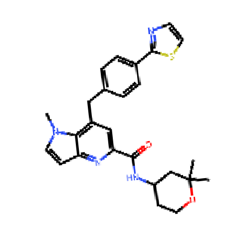 Cn1ccc2nc(C(=O)NC3CCOC(C)(C)C3)cc(Cc3ccc(-c4nccs4)cc3)c21